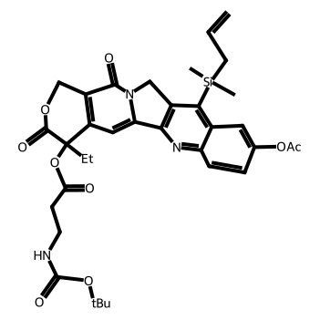 C=CC[Si](C)(C)c1c2c(nc3ccc(OC(C)=O)cc13)-c1cc3c(c(=O)n1C2)COC(=O)C3(CC)OC(=O)CCNC(=O)OC(C)(C)C